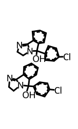 OC1(c2ccc(Cl)cc2)c2ccccc2C2=NCCN21.OC1(c2ccc(Cl)cc2)c2ccccc2C2=NCCN21